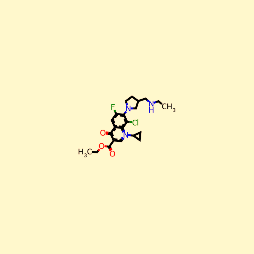 CCNCC1CCN(c2c(F)cc3c(=O)c(C(=O)OCC)cn(C4CC4)c3c2Cl)C1